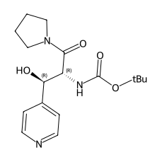 CC(C)(C)OC(=O)N[C@@H](C(=O)N1CCCC1)[C@H](O)c1ccncc1